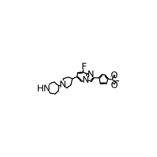 CS(=O)(=O)c1ccc(-c2cn3cc(C4CCN(C5CCCNCC5)CC4)cc(F)c3n2)cc1